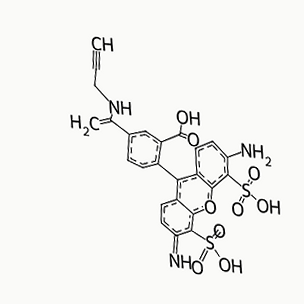 C#CCNC(=C)c1ccc(-c2c3ccc(=N)c(S(=O)(=O)O)c-3oc3c(S(=O)(=O)O)c(N)ccc23)c(C(=O)O)c1